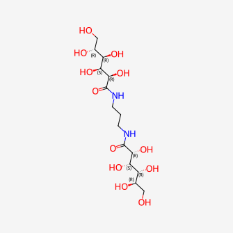 O=C(NCCCNC(=O)[C@H](O)[C@@H](O)[C@H](O)[C@H](O)CO)[C@H](O)[C@@H](O)[C@H](O)[C@H](O)CO